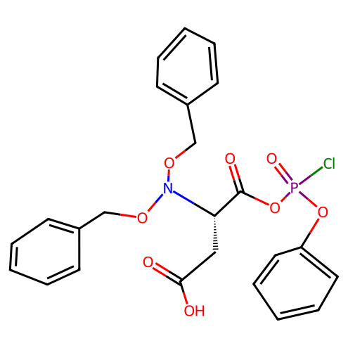 O=C(O)C[C@@H](C(=O)OP(=O)(Cl)Oc1ccccc1)N(OCc1ccccc1)OCc1ccccc1